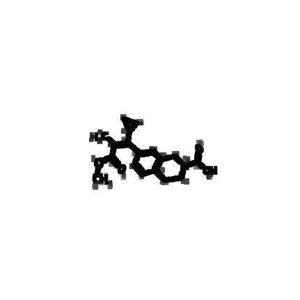 COC(=O)/C(C)=C(\c1ccc2c(c1)CN(C(=O)O)CC2)C1CC1